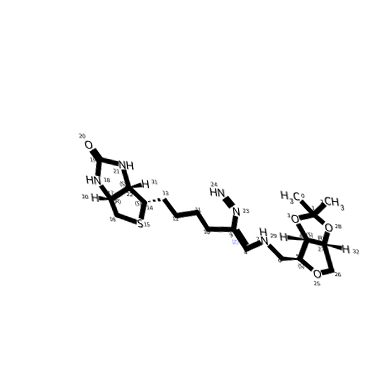 CC1(C)O[C@H]2[C@H](CN/C=C(/CCCC[C@@H]3SC[C@@H]4NC(=O)N[C@@H]43)N=N)OC[C@H]2O1